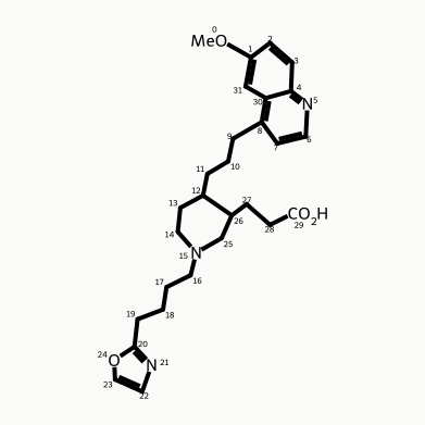 COc1ccc2nccc(CCCC3CCN(CCCCc4ncco4)CC3CCC(=O)O)c2c1